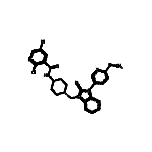 COc1ccc(-n2c(=O)n(C[C@H]3CC[C@H](NC(=O)c4cc(Cl)cnc4Cl)CC3)c3ccccc32)cn1